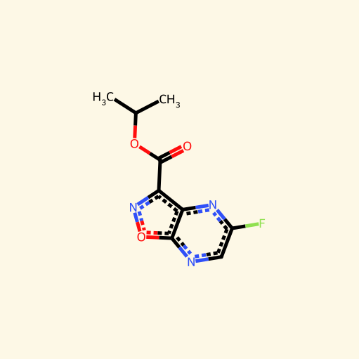 CC(C)OC(=O)c1noc2ncc(F)nc12